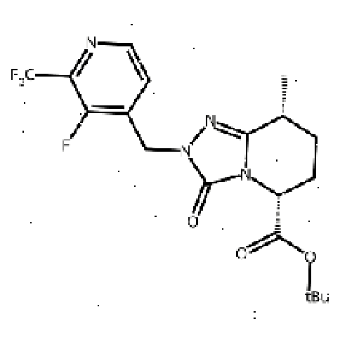 C[C@@H]1CC[C@H](C(=O)OC(C)(C)C)n2c1nn(Cc1ccnc(C(F)(F)F)c1F)c2=O